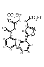 CCOC(=O)CC(=O)CC(=O)c1ccccc1.CCOC(=O)Cc1cc(-c2ccccc2)on1